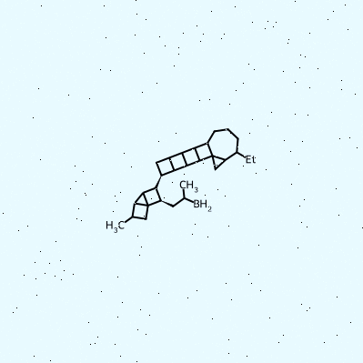 BC(C)C[C@@H]1C([C@H]2CC3C4C(C32)C2C4C3CCCC(CC)C4CC432)C2C3C(C)CC321